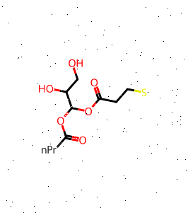 CCCC(=O)OC(OC(=O)CC[S])C(O)CO